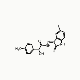 [CH2]c1ccc(C(O)C(=O)NN=C2C(=O)Nc3ccc(I)cc32)cc1